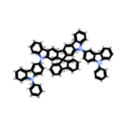 c1ccc(-n2c3ccccc3c3cc(-n4c5ccccc5c5cc6c(cc54)C4(c5ccccc5-c5ccccc54)c4cc5c(cc4-6)c4ccccc4n5-c4ccc5c(c4)c4ccccc4n5-c4ccccc4)ccc32)cc1